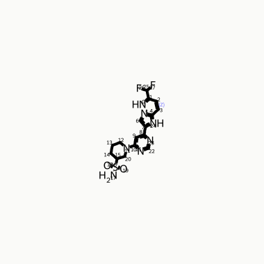 N=C(/C=C\c1ncc(-c2cc(N3CCCC(S(N)(=O)=O)C3)ncn2)[nH]1)C(F)F